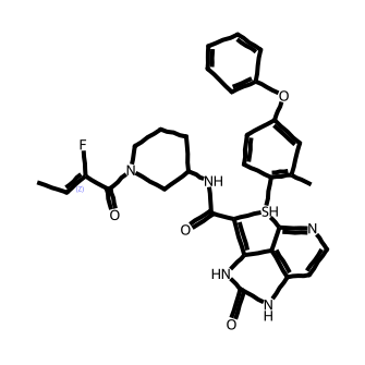 C/C=C(\F)C(=O)N1CCCC(NC(=O)C2=C3NC(=O)Nc4ccnc(c43)[SH]2c2ccc(Oc3ccccc3)cc2C)C1